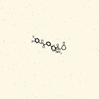 Nc1ncc(-c2cccc(C(=O)NCc3ccc(F)c(F)c3)c2)nc1C(=O)N[C@H]1CCCNC1